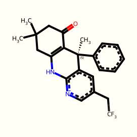 CC1(C)CC(=O)C2=C(C1)Nc1ncc(CC(F)(F)F)cc1[C@]2(C)c1ccccc1